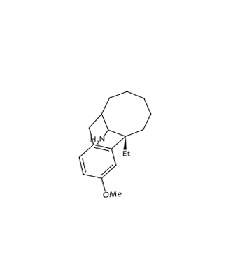 CC[C@@]12CCCCCC(Cc3ccc(OC)cc31)C2N